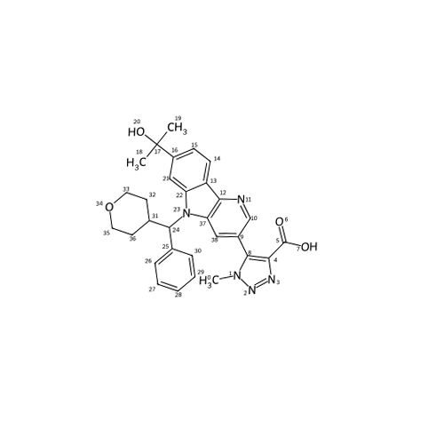 Cn1nnc(C(=O)O)c1-c1cnc2c3ccc(C(C)(C)O)cc3n(C(c3ccccc3)C3CCOCC3)c2c1